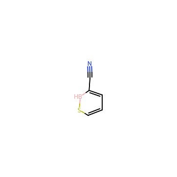 N#CC1=CC=CSB1